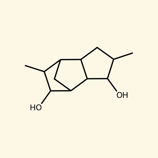 CC1CC2C3CC(C(O)C3C)C2C1O